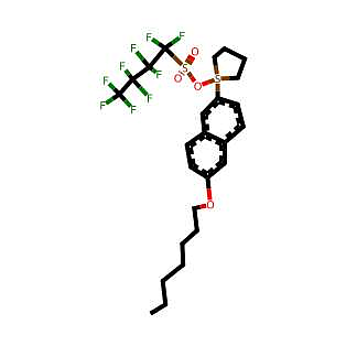 CCCCCCCOc1ccc2cc(S3(OS(=O)(=O)C(F)(F)C(F)(F)C(F)(F)C(F)(F)F)CCCC3)ccc2c1